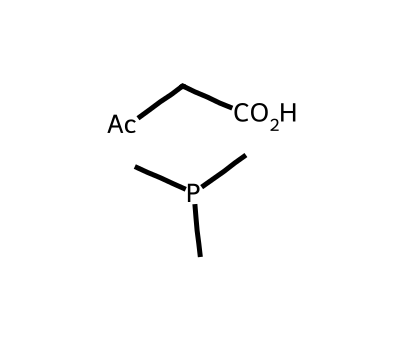 CC(=O)CC(=O)O.CP(C)C